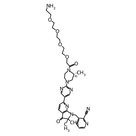 C[C@@H]1CN(c2ncc(-c3ccc4c(n3)N(Cc3cccnc3C#N)C(C)(C)C4=O)cn2)CCN1C(=O)COCCOCCOCCOCCN